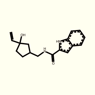 C=CC1(O)CCC(CNC(=O)c2cc3ccccc3[nH]2)C1